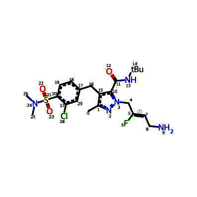 Cc1nn(C/C(F)=C/CN)c(C(=O)NC(C)(C)C)c1Cc1ccc(S(=O)(=O)N(C)C)c(Cl)c1